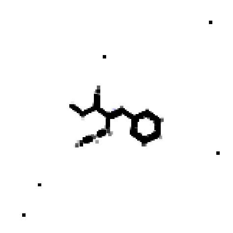 COC(=O)/C(=C/c1ccccc1)N=[N+]=[N-]